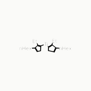 CCCCCCC1=CC[C]([Ti][C]2=C(CC)C(CCCCCC)=CC2)=C1CC